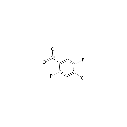 O=[N+]([O-])c1cc(F)c(Cl)[c]c1F